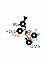 COc1ccc(CN(CC(=O)N(Cc2cc(C3CC3)cc(C(C)(C)C)c2)c2ccc(C(=O)O)c(O)c2)S(=O)(=O)c2c(F)c(F)c(F)c(F)c2F)cc1F